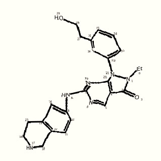 CCn1c(=O)c2cnc(Nc3ccc4c(c3)CCNC4)nc2n1-c1cccc(CCO)n1